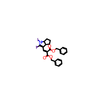 O=C(OCc1ccccc1)C(=CC1=C(I)N(I)C2CCCC12)C(=O)OCc1ccccc1